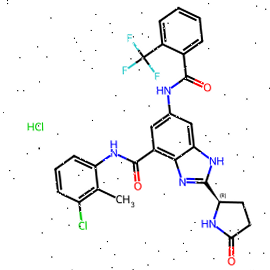 Cc1c(Cl)cccc1NC(=O)c1cc(NC(=O)c2ccccc2C(F)(F)F)cc2[nH]c([C@H]3CCC(=O)N3)nc12.Cl